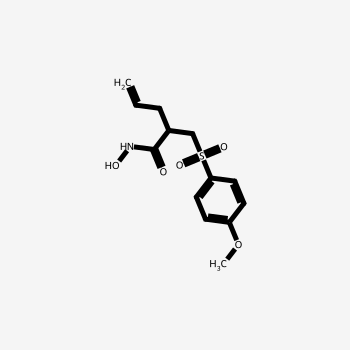 C=CCC(CS(=O)(=O)c1ccc(OC)cc1)C(=O)NO